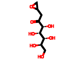 O=C(CC1CO1)[C@H](O)[C@@H](O)[C@H](O)[C@H](O)CO